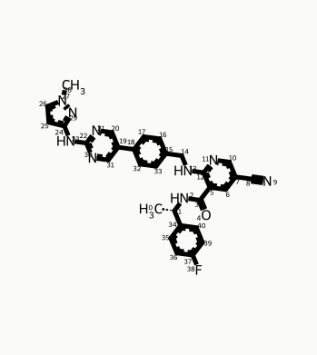 C[C@H](NC(=O)c1cc(C#N)cnc1NCc1ccc(-c2cnc(Nc3ccn(C)n3)nc2)cc1)c1ccc(F)cc1